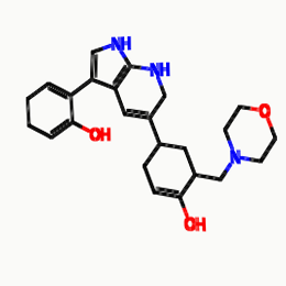 OC1=CCCC=C1c1c[nH]c2c1C=C(C1CC=C(O)C(CN3CCOCC3)C1)CN2